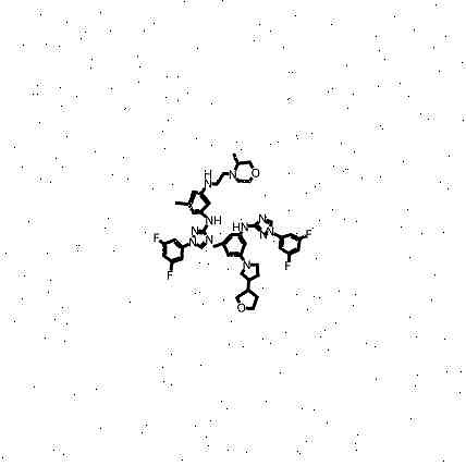 Cc1cc(NCCN2CCOCC2C)cc(Nc2ncn(-c3cc(F)cc(F)c3)n2)c1.Cc1cc(Nc2ncn(-c3cc(F)cc(F)c3)n2)cc(N2CCC(C3CCOC3)C2)c1